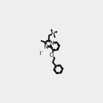 Cc1nc2c(OCCc3ccccc3)cccn2c1C[N+](C)(C)C.[I-]